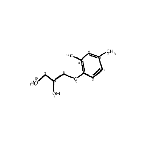 Cc1ccc(OCC(O)CO)c(F)c1